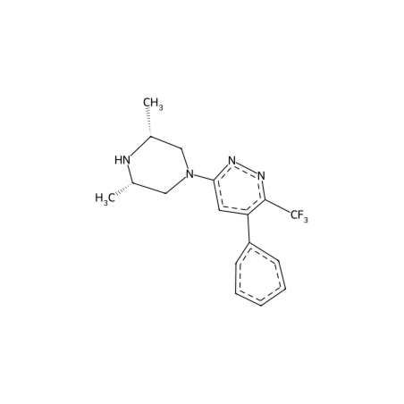 C[C@@H]1CN(c2cc(-c3ccccc3)c(C(F)(F)F)nn2)C[C@H](C)N1